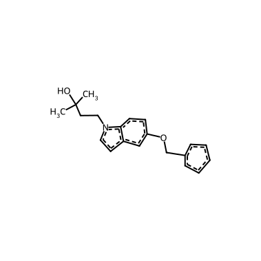 CC(C)(O)CCn1ccc2cc(OCc3ccccc3)ccc21